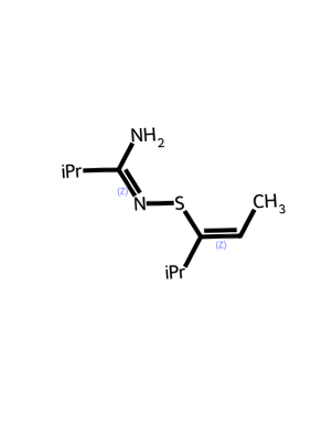 C/C=C(\S/N=C(\N)C(C)C)C(C)C